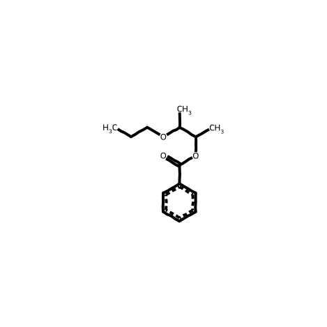 CCCOC(C)C(C)OC(=O)c1ccccc1